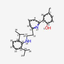 Cc1ccc(O)c(-c2cccc(CCNc3c(C(C)C)cccc3C(C)C)n2)c1